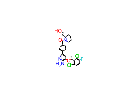 C[C@H](Oc1cc(-c2ccc(C(=O)N3CCCC[C@@H]3CCO)cc2)cnc1N)c1c(Cl)ccc(F)c1Cl